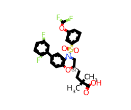 CC(C)(CC[C@H]1CN(S(=O)(=O)c2cccc(OC(F)F)c2)c2cc(-c3cc(F)ccc3F)ccc2O1)C(=O)O